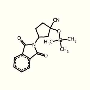 C[Si](C)(C)OC1(C#N)CCC(N2C(=O)c3ccccc3C2=O)C1